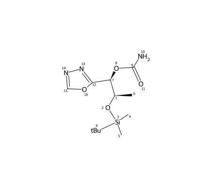 C[C@@H](O[Si](C)(C)C(C)(C)C)[C@H](OC(N)=O)c1nnco1